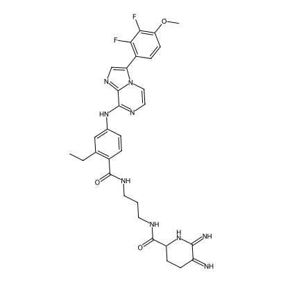 CCc1cc(Nc2nccn3c(-c4ccc(OC)c(F)c4F)cnc23)ccc1C(=O)NCCCNC(=O)C1CCC(=N)C(=N)N1